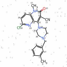 Cc1cccc(CN2CCN(c3c(C#N)c(=O)n(C)c4ccc(Cl)nc34)CC2)c1